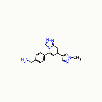 Cn1cc(-c2cc(-c3ccc(CN)cc3)n3cnnc3c2)cn1